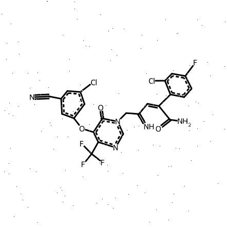 N#Cc1cc(Cl)cc(Oc2c(C(F)(F)F)ncn(CC(=N)/C=C(\C(N)=O)c3ccc(F)cc3Cl)c2=O)c1